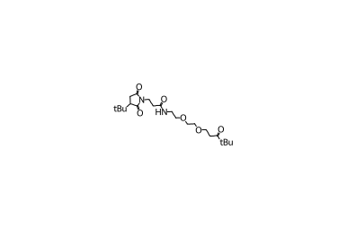 CC(C)(C)C(=O)CCOCCOCCNC(=O)CCN1C(=O)CC(C(C)(C)C)C1=O